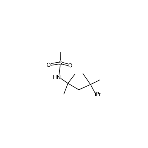 CC(C)C(C)(C)CC(C)(C)NS(C)(=O)=O